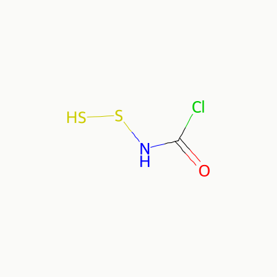 O=C(Cl)NSS